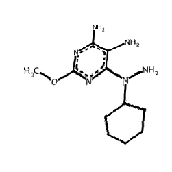 COc1nc(N)c(N)c(N(N)C2CCCCC2)n1